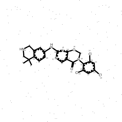 CC1(C)CNCc2cc(Nc3ncc4c(n3)OCN(c3c(Cl)cc(Cl)cc3Cl)C4=O)ccc21